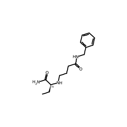 CC[C@H](NCCCC(=O)NCc1ccccc1)C(N)=O